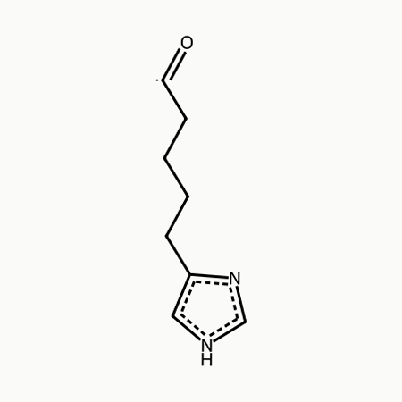 O=[C]CCCCc1c[nH]cn1